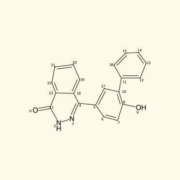 O=c1[nH]nc(-c2ccc(O)c(-c3ccccc3)c2)c2ccccc12